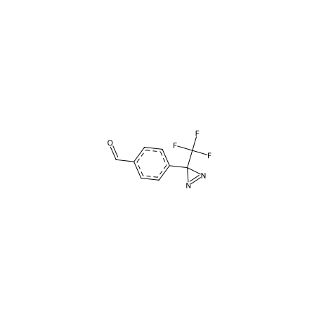 O=Cc1ccc(C2(C(F)(F)F)N=N2)cc1